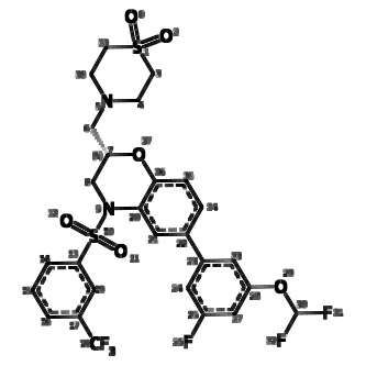 O=S1(=O)CCN(C[C@H]2CN(S(=O)(=O)c3cccc(C(F)(F)F)c3)c3cc(-c4cc(F)cc(OC(F)F)c4)ccc3O2)CC1